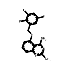 Nc1nc(N)c2c(OCc3cc(F)cc(F)c3F)cccc2n1